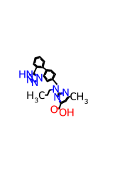 CCCN(Cc1ccc(-c2ccccc2-c2nnn[nH]2)cc1)c1nc(C)cc(C(=O)O)n1